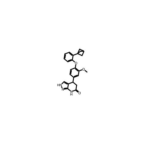 COc1cc(C2CC(=O)Nc3n[nH]cc32)ccc1Oc1ccccc1C12CC(C1)C2